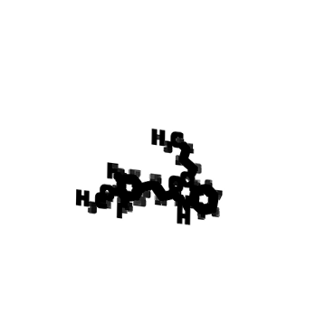 CCCCOc1ccccc1NC(=O)/C=C/c1cc(F)c(OC)c(F)c1